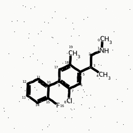 CNCC(C)c1cc(Cl)c(-c2ccccc2F)cc1C